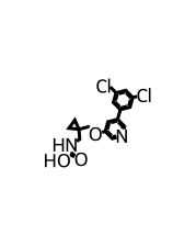 O=C(O)NCC1(COc2cncc(-c3cc(Cl)cc(Cl)c3)c2)CC1